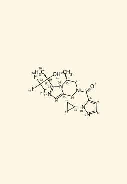 C[C@H]1CN(C(=O)c2ccnn2C2CC2)Cc2cnc([C@@](C)(O)C(F)(F)F)n21